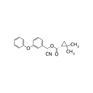 CC1(C)C[C@H]1C(=O)O[C@H](C#N)c1cccc(Oc2ccccc2)c1